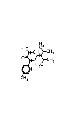 Cc1ccc(N(CCN(C(C)C)C(C)C)C(=O)N(C)C)nc1